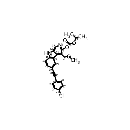 COCc1c(OC(=O)OC(C)C)ncc2[nH]c3ccc(C#Cc4ccc(Cl)cc4)cc3c12